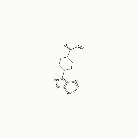 COC(=O)C1CCC(c2nsc3cccnc23)CC1